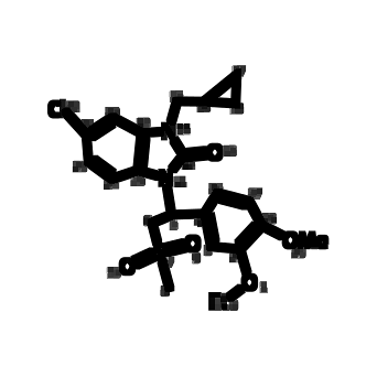 CCOc1cc(C(CS(C)(=O)=O)n2c(=O)n(CC3CC3)c3cc(Cl)ccc32)ccc1OC